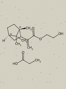 C=C(C(=O)OCCO)C1C[C@H]2CC[C@@]1(C)C2(C)C.CCC(=O)O